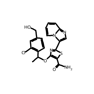 CC(Oc1nc(-c2cnc3ccccn23)sc1C(N)=O)c1ccc(CO)cc1Cl